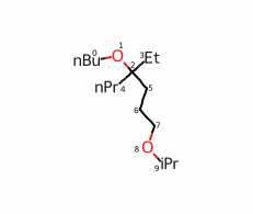 CCCCOC(CC)(CCC)CCCOC(C)C